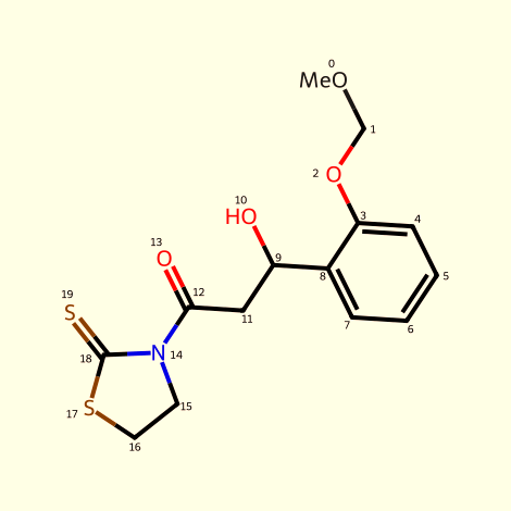 COCOc1ccccc1C(O)CC(=O)N1CCSC1=S